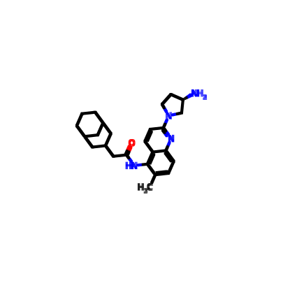 Cc1ccc2nc(N3CC[C@@H](N)C3)ccc2c1NC(=O)CC1CC2CCCC(C2)C1